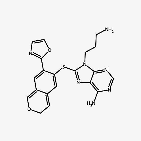 NCCCn1c(Sc2cc3c(cc2-c2ncco2)=COCC=3)nc2c(N)ncnc21